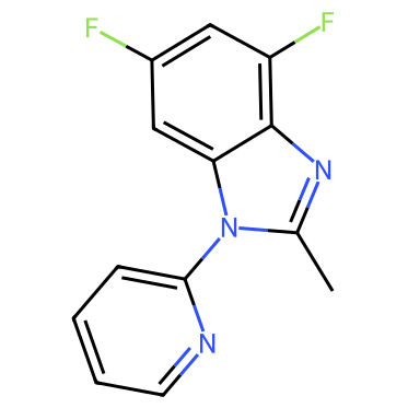 Cc1nc2c(F)cc(F)cc2n1-c1ccccn1